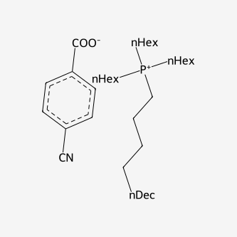 CCCCCCCCCCCCCC[P+](CCCCCC)(CCCCCC)CCCCCC.N#Cc1ccc(C(=O)[O-])cc1